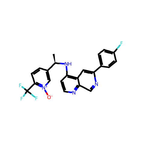 C[C@@H](Nc1ccnc2cnc(-c3ccc(F)cc3)cc12)c1ccc(C(F)(F)F)[n+]([O-])c1